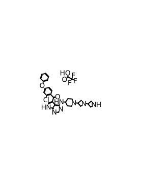 O=C(O)C(F)(F)F.O=C(c1ccc(Oc2ccccc2)cc1Cl)c1c[nH]c2ncnc(NC3CCN(C4CN(C5CNC5)C4)CC3)c12